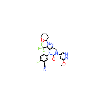 COc1cc(N(Cc2cc(C(F)(F)F)n(C3CCCCO3)n2)C(=O)Nc2ccc(F)c(C#N)c2)cnn1